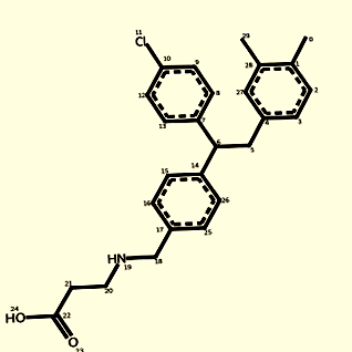 Cc1ccc(CC(c2ccc(Cl)cc2)c2ccc(CNCCC(=O)O)cc2)cc1C